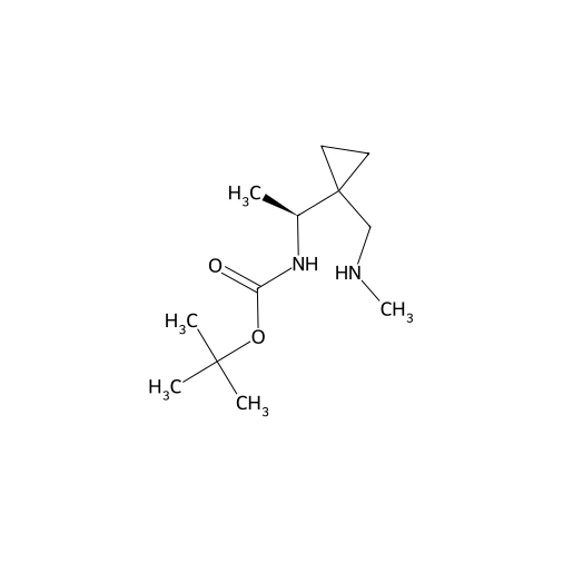 CNCC1([C@H](C)NC(=O)OC(C)(C)C)CC1